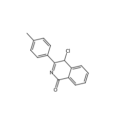 Cc1ccc(C2=NC(=O)c3ccccc3C2Cl)cc1